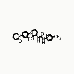 O=C(Nc1ccc(C(F)(F)F)cn1)N[C@@H]1CCCN(c2ccc(N3CCCCC3=O)cc2F)C1=O